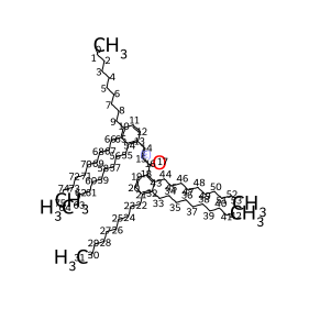 CCCCCCCCCCc1ccc(/C=C/C(=O)c2ccc(CCCCCCCCCC)c(CCCCCCCCCC)c2CCCCCCCCCC)c(CCCCCCCCCC)c1CCCCCCCCCC